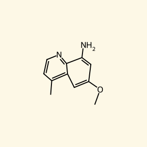 COc1cc(N)c2nccc(C)c2c1